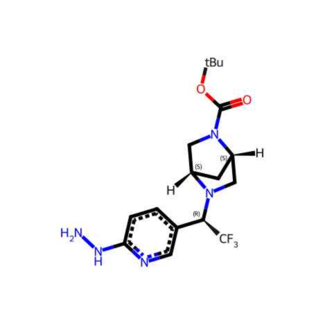 CC(C)(C)OC(=O)N1C[C@@H]2C[C@H]1CN2[C@H](c1ccc(NN)nc1)C(F)(F)F